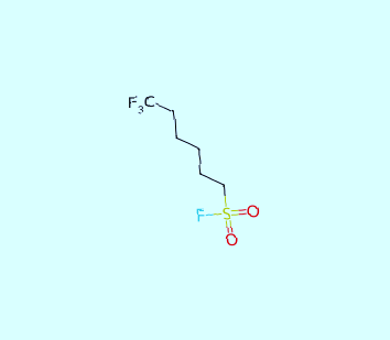 O=S(=O)(F)CCCCCC(F)(F)F